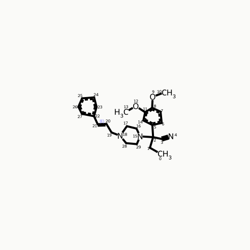 CCC(C#N)(c1ccc(OC)c(OC)c1)N1CCN(C/C=C/c2ccccc2)CC1